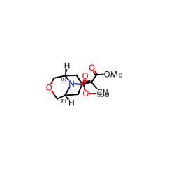 COC(=O)C(C#N)=C1C[C@H]2COC[C@@H](C1)N2C(=O)OC(C)(C)C